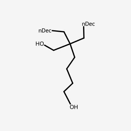 CCCCCCCCCCCC(CO)(CCCCO)CCCCCCCCCCC